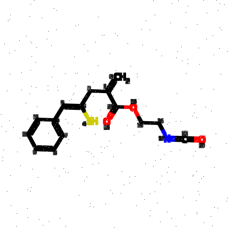 C=C(CC(S)=Cc1ccccc1)C(=O)OCCN=C=O